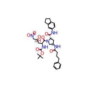 CC(C)(C)OC(=O)NC(C[C@H](O)C[N+](=O)[O-])C(=O)N1C[C@H](NC(=O)CCCc2ccccc2)C[C@H]1C(=O)Nc1ccc2c(c1)CCC2